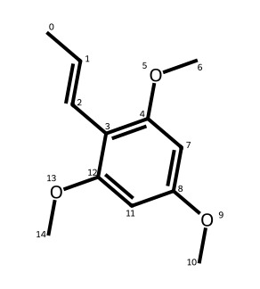 CC=Cc1c(OC)cc(OC)cc1OC